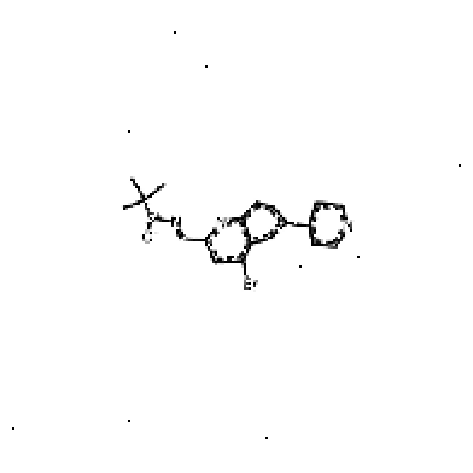 CC(C)(C)[S+]([O-])N=Cc1cc(Br)c2cc(-c3ccncc3)ccc2n1